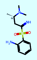 C[C@@H](CC(=N)S(=O)(=O)c1ccccc1N)N(C)C